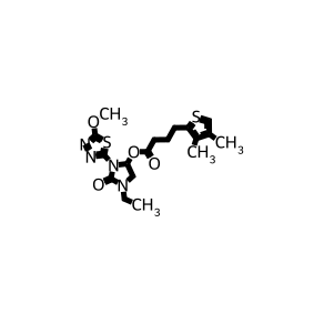 CCN1CC(OC(=O)CCCc2scc(C)c2C)N(c2nnc(OC)s2)C1=O